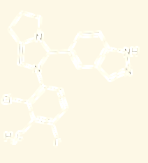 Cc1c(F)ccc(N2C=C3CCCN3C2c2ccc3[nH]ncc3c2)c1Cl